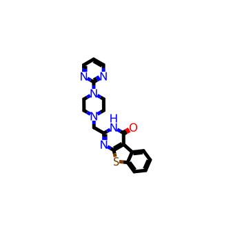 O=c1[nH]c(CN2CCN(c3ncccn3)CC2)nc2sc3ccccc3c12